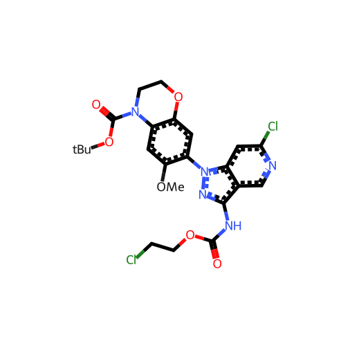 COc1cc2c(cc1-n1nc(NC(=O)OCCCl)c3cnc(Cl)cc31)OCCN2C(=O)OC(C)(C)C